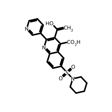 C=C(O)c1c(-c2cccnc2)nc2ccc(S(=O)(=O)N3CCCCC3)cc2c1C(=O)O